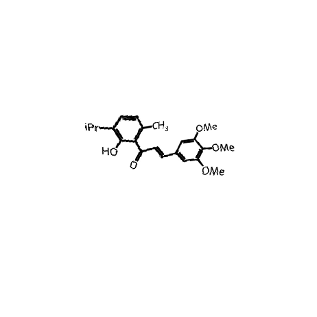 COc1cc(C=CC(=O)c2c(C)ccc(C(C)C)c2O)cc(OC)c1OC